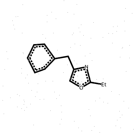 CCc1nc(Cc2ccccc2)co1